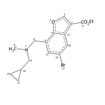 CCOC(=O)c1coc2c(CN(C)CC3CC3)cc(Br)cc12